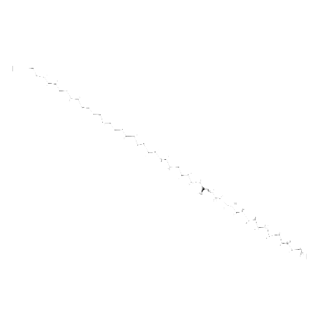 CCCCCCCCCCCCCCCCCCCCCCCCCCCCCCCCC(=O)OCCCCCCCCCCCCCCCCC